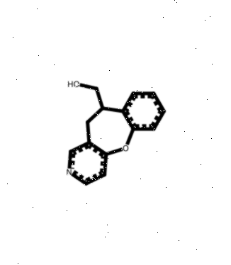 OCC1Cc2cnccc2Oc2ccccc21